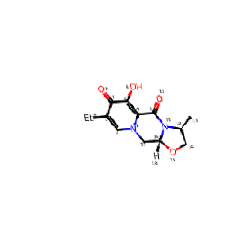 CCc1cn2c(c(O)c1=O)C(=O)N1[C@@H](C)CO[C@@H]1C2